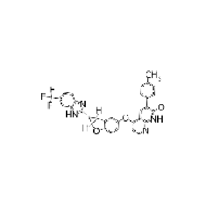 Cc1ccc(-c2cc3c(Oc4ccc5c(c4)[C@H]4[C@@H](O5)[C@@H]4c4nc5ccc(C(F)(F)F)cc5[nH]4)ccnc3[nH]c2=O)cc1